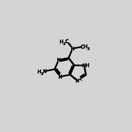 CN(C)c1nc(N)nc2c1NC=[N+]2